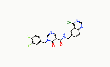 O=C(NCc1ccc2ncnc(Cl)c2c1)c1cncn(Cc2ccc(F)c(F)c2)c1=O